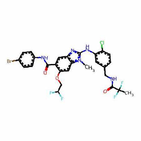 Cn1c(Nc2cc(CNC(=O)C(C)(F)F)ccc2Cl)nc2cc(C(=O)Nc3ccc(Br)cc3)c(OCC(F)F)cc21